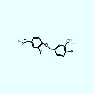 Cc1ccc(OCc2ccc(F)c(C)c2)c(F)c1